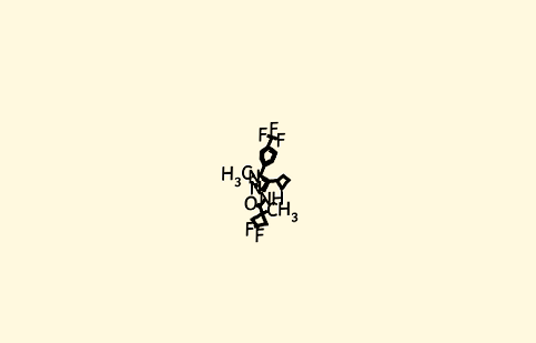 Cn1nc(NC(=O)C2(C)CC(F)(F)C2)c(C2CCC2)c1-c1ccc(C(F)(F)F)cc1